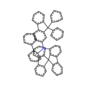 c1ccc(-c2ccccc2N(c2ccc3c(c2)C(c2ccccc2)(c2ccccc2)c2ccccc2-3)c2cccc3c2C2(c4ccccc4-c4ccccc42)c2ccccc2-3)cc1